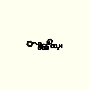 O=C(O)[C@@H]1CCCN1C(=O)CP(=O)(O)OCCc1ccccc1